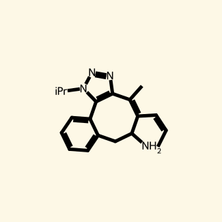 C/C=C\C1=C(/C)c2nnn(C(C)C)c2-c2ccccc2CC1N